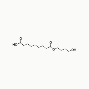 O=C(O)CCCCCCCC(=O)OCCCCO